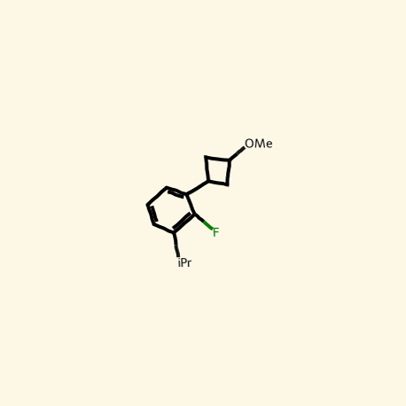 COC1CC(c2cccc(C(C)C)c2F)C1